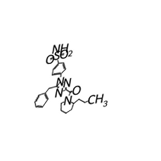 CCCC1CCCCN1C(=O)c1nc(Cc2ccccc2)n(-c2ccc(S(N)(=O)=O)cc2)n1